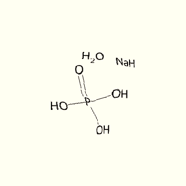 O.O=P(O)(O)O.[NaH]